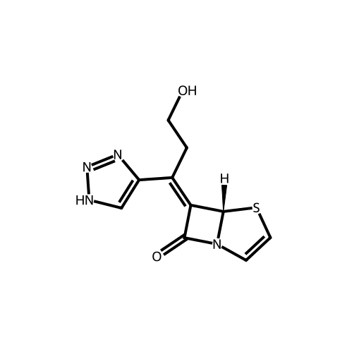 O=C1C(=C(CCO)c2c[nH]nn2)[C@@H]2SC=CN12